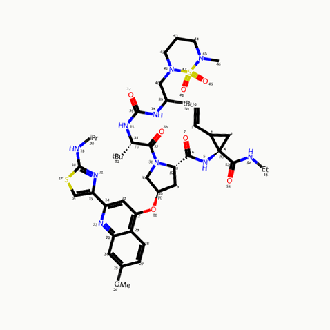 C=CC1C[C@]1(NC(=O)[C@@H]1C[C@@H](Oc2cc(-c3csc(NC(C)C)n3)nc3cc(OC)ccc23)CN1C(=O)[C@@H](NC(=O)NC(CN1CCCN(C)S1(=O)=O)C(C)(C)C)C(C)(C)C)C(=O)NCC